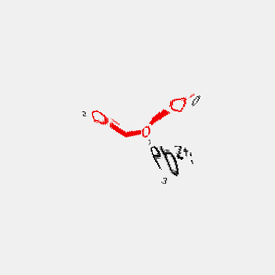 [O-]O[O-].[Pb+2]